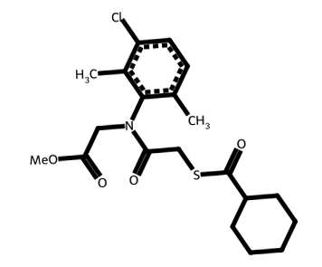 COC(=O)CN(C(=O)CSC(=O)C1CCCCC1)c1c(C)ccc(Cl)c1C